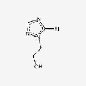 CCc1ncnn1CCO